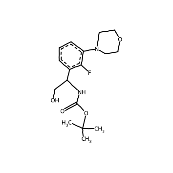 CC(C)(C)OC(=O)NC(CO)c1cccc(N2CCOCC2)c1F